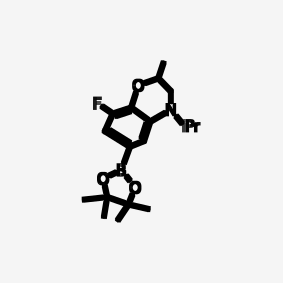 CC1CN(C(C)C)c2cc(B3OC(C)(C)C(C)(C)O3)cc(F)c2O1